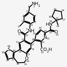 Cc1cc(CN)ccc1NC(=O)c1cc2c(cc1-c1ccc(C(=O)NC3(C)CCCC3)nc1C(=O)O)OCCc1ccsc1-2